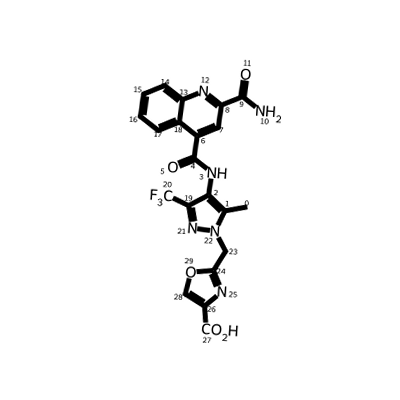 Cc1c(NC(=O)c2cc(C(N)=O)nc3ccccc23)c(C(F)(F)F)nn1Cc1nc(C(=O)O)co1